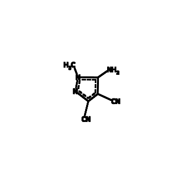 Cn1nc(C#N)c(C#N)c1N